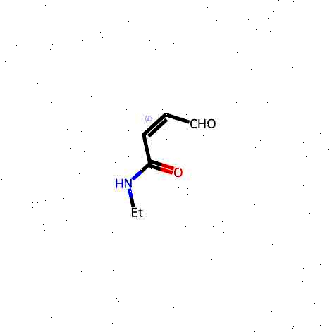 CCNC(=O)/C=C\C=O